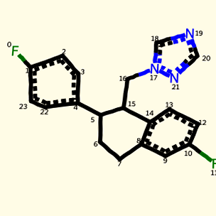 Fc1ccc(C2CCc3cc(F)ccc3C2Cn2cncn2)cc1